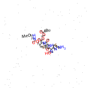 COCCNC(=O)OCC1=C(C(=O)OCOC(=O)C(C)(C)C)N2C(=O)C(NC(=O)/C(=N\O)c3csc(N)n3)[C@@H]2SC1